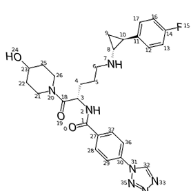 O=C(N[C@@H](CCCN[C@@H]1C[C@H]1c1ccc(F)cc1)C(=O)N1CCC(O)CC1)c1ccc(-n2cnnn2)cc1